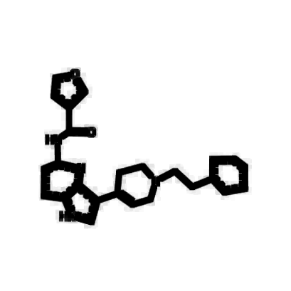 O=C(Nc1ccc2[nH]cc(C3=CCN(CCc4ccccc4)CC3)c2n1)c1ccoc1